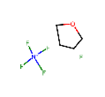 C1CCOC1.F[N+](F)(F)F.[F-]